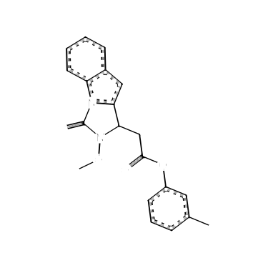 CON1C(=O)n2c(cc3ccccc32)C1CC(=O)Oc1cccc(C)c1